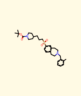 Cc1ccccc1CN1CCc2ccc(S(=O)(=O)CCCC3CCN(C(=O)OC(C)(C)C)CC3)cc2CC1